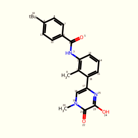 Cc1c(NC(=O)c2ccc(C(C)(C)C)cc2)cccc1-c1cn(C)c(=O)c(O)n1